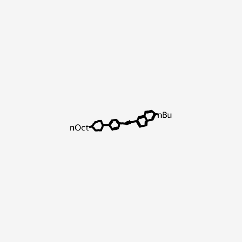 CCCCCCCCC1CCC(c2ccc(C#Cc3ccc4cc(CCCC)ccc4c3)cc2)CC1